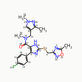 Cc1nc(CSc2nc(-c3ccc(F)cc3)c(C(=O)N(C)Cc3cn(C)nc3C)[nH]2)no1